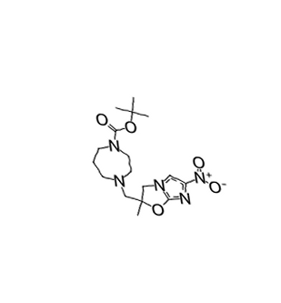 CC(C)(C)OC(=O)N1CCCN(CC2(C)Cn3cc([N+](=O)[O-])nc3O2)CC1